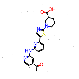 CC(=O)c1ccnc(Nc2cccc(-c3cnc(N4CCCC(C(=O)O)C4)s3)n2)c1